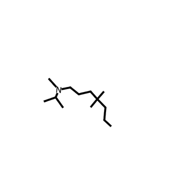 CCCC(C)(C)CCCN(C)C(C)C